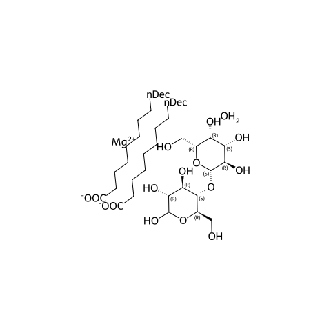 CCCCCCCCCCCCCCCCCC(=O)[O-].CCCCCCCCCCCCCCCCCC(=O)[O-].O.OC[C@H]1O[C@@H](O[C@H]2[C@H](O)[C@@H](O)C(O)O[C@@H]2CO)[C@H](O)[C@@H](O)[C@H]1O.[Mg+2]